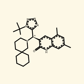 Cc1cc(C)c2cc([C@H](c3nnnn3C(C)(C)C)N3CCCC4(CCCCC4)C3)c(=O)[nH]c2c1